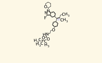 CC/C(C)=C(/c1ccc(OCCNC(=O)OC(C)(C)C)cc1)c1ccc2c(c1)c(F)nn2C1CCCCO1